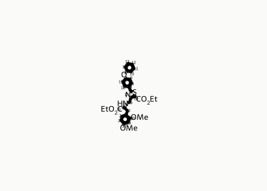 CCOC(=O)c1sc(-c2ccc(Oc3ccccc3)cc2)nc1CNC(Cc1ccc(OC)cc1OC)C(=O)OCC